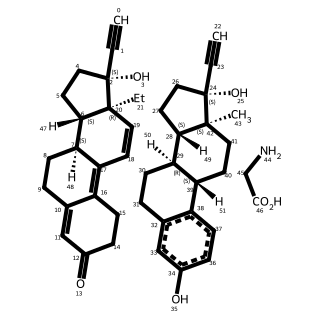 C#C[C@]1(O)CC[C@H]2[C@@H]3CCC4=CC(=O)CCC4=C3C=C[C@@]21CC.C#C[C@]1(O)CC[C@H]2[C@@H]3CCc4cc(O)ccc4[C@H]3CC[C@@]21C.NCC(=O)O